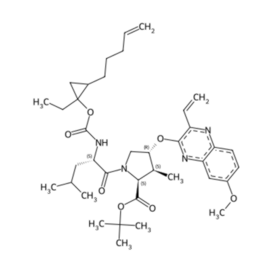 C=CCCCC1CC1(CC)OC(=O)N[C@@H](CC(C)C)C(=O)N1C[C@H](Oc2nc3cc(OC)ccc3nc2C=C)[C@@H](C)[C@H]1C(=O)OC(C)(C)C